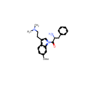 COc1ccc2c(CCN(C)C)cn(C(=O)C(N)Cc3ccccc3)c2c1